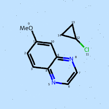 COc1ccc2nccnc2c1.ClC1CC1